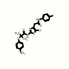 CC(C)(Oc1ccc([N+](=O)[O-])cc1)C(=O)Nc1nc(CC(=O)Nc2ccc(F)cc2)c(Cl)s1